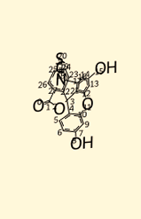 O=C1OC2(c3ccc(O)cc3Oc3cc(O)cc(N=C=S)c32)c2ccccc21